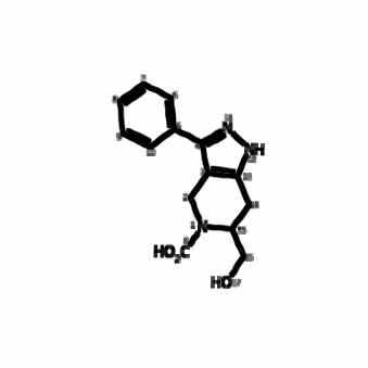 O=C(O)N1Cc2c(-c3ccccc3)n[nH]c2CC1CO